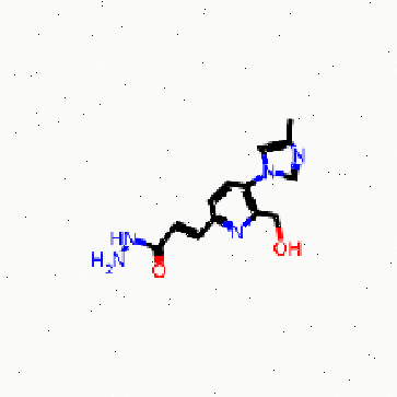 Cc1cn(-c2ccc(/C=C/C(=O)NN)nc2CO)cn1